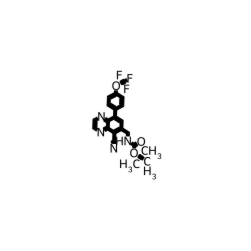 CC(C)(C)OC(=O)NCc1cc(-c2ccc(OC(F)(F)F)cc2)c2nccnc2c1C#N